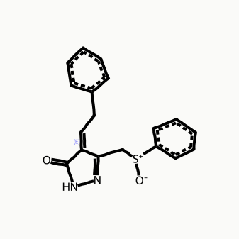 O=C1NN=C(C[S+]([O-])c2ccccc2)/C1=C\Cc1ccccc1